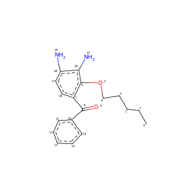 CCCCCOc1c(C(=O)c2ccccc2)ccc(N)c1N